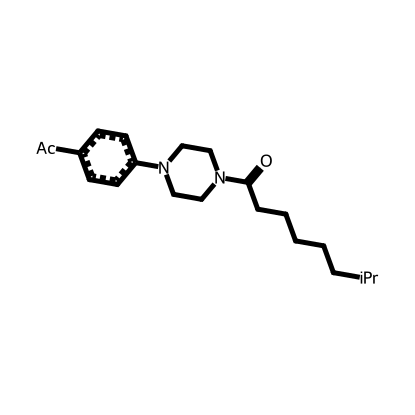 CC(=O)c1ccc(N2CCN(C(=O)CCCCCC(C)C)CC2)cc1